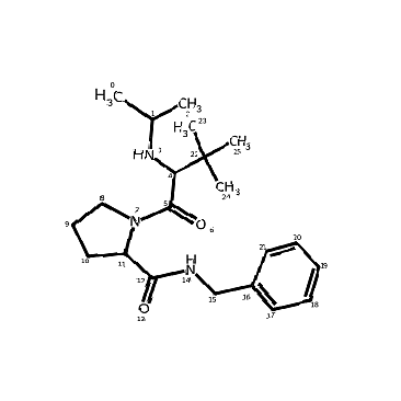 CC(C)NC(C(=O)N1CCCC1C(=O)NCc1ccccc1)C(C)(C)C